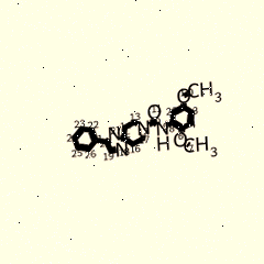 COc1ccc(OC)c(NC(=O)N2CCC3(CC2)N=CC(c2ccccc2)=N3)c1